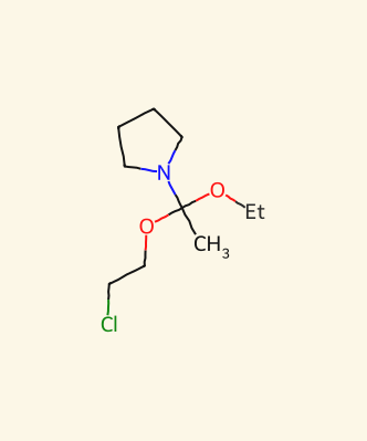 CCOC(C)(OCCCl)N1CCCC1